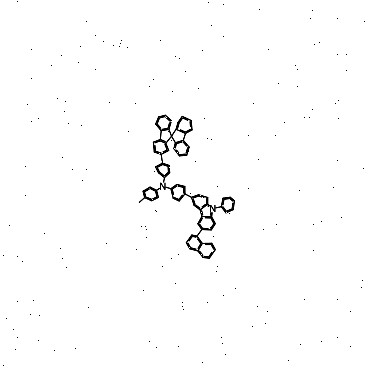 Cc1ccc(N(c2ccc(-c3ccc4c(c3)C3(c5ccccc5-c5ccccc53)c3ccccc3-4)cc2)c2ccc(-c3ccc4c(c3)c3cc(-c5cccc6ccccc56)ccc3n4-c3ccccc3)cc2)cc1